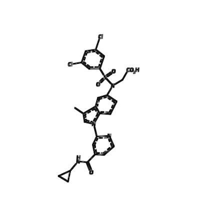 Cc1cn(-c2cc(C(=O)NC3CC3)ccn2)c2ccc(N(CC(=O)O)S(=O)(=O)c3cc(Cl)cc(Cl)c3)cc12